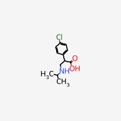 CC(C)NCC(C(=O)O)c1ccc(Cl)cc1